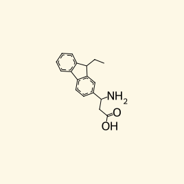 CCC1c2ccccc2-c2ccc(C(N)CC(=O)O)cc21